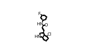 O=C(/C=C/c1c[nH]c2cccc(Cl)c12)Nc1cccc(F)c1